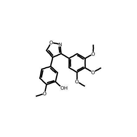 COc1ccc(-c2conc2-c2cc(OC)c(OC)c(OC)c2)cc1O